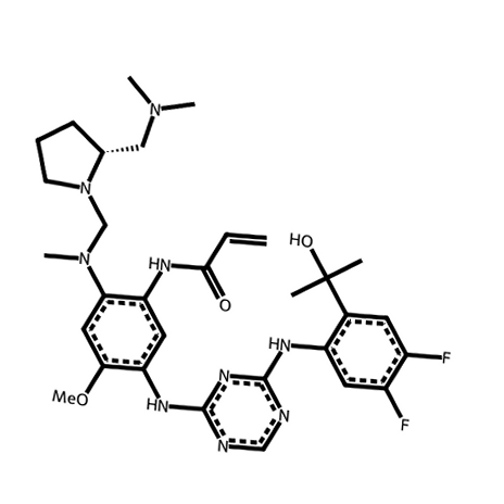 C=CC(=O)Nc1cc(Nc2ncnc(Nc3cc(F)c(F)cc3C(C)(C)O)n2)c(OC)cc1N(C)CN1CCC[C@@H]1CN(C)C